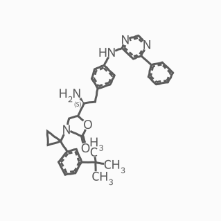 CC(C)(C)c1cccc(C2(N3CC([C@@H](N)Cc4ccc(Nc5cc(-c6ccccc6)ncn5)cc4)OC3=O)CC2)c1